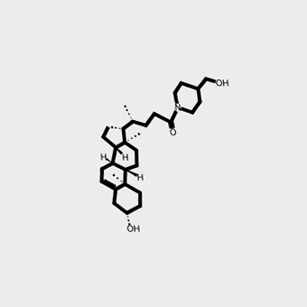 C[C@H](CCC(=O)N1CCC(CO)CC1)[C@H]1CC[C@H]2[C@@H]3CC=C4C[C@@H](O)CC[C@]4(C)[C@H]3CC[C@]12C